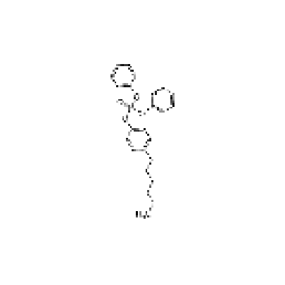 CCCCCCc1ccc(OP(=O)(Oc2ccccc2)Oc2ccccc2)cc1